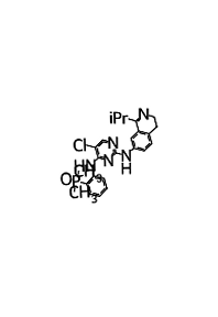 CC(C)C1=NCCc2ccc(Nc3ncc(Cl)c(Nc4ccccc4P(C)(C)=O)n3)cc21